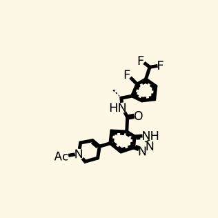 CC(=O)N1CC=C(c2cc(C(=O)N[C@H](C)c3cccc(C(F)F)c3F)c3[nH]nnc3c2)CC1